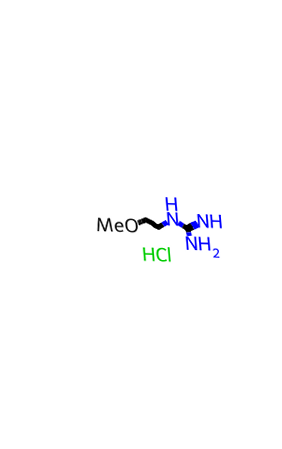 COCCNC(=N)N.Cl